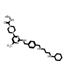 CCCCNC(=O)N1CCN(c2cc(C)nc(NCc3ccc(CNCCCNC4CCCCC4)cc3)n2)CC1